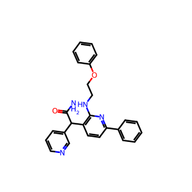 NC(=O)C(c1cccnc1)c1ccc(-c2ccccc2)nc1NCCOc1ccccc1